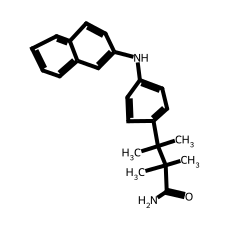 CC(C)(C(N)=O)C(C)(C)c1ccc(Nc2ccc3ccccc3c2)cc1